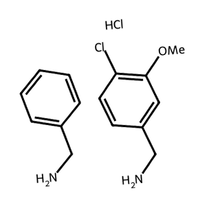 COc1cc(CN)ccc1Cl.Cl.NCc1ccccc1